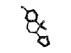 O=S1(=O)c2ccc(Br)cc2CCN1c1nccs1